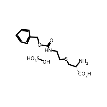 N[C@@H](CSCCNC(=O)OCc1ccccc1)C(=O)O.O=S(=O)(O)O